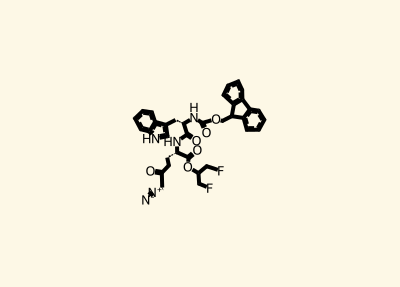 [N-]=[N+]=CC(=O)CC[C@H](NC(=O)[C@H](Cc1c[nH]c2ccccc12)NC(=O)OCC1c2ccccc2-c2ccccc21)C(=O)OC(CF)CF